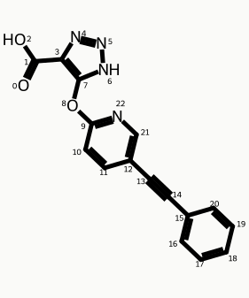 O=C(O)c1nn[nH]c1Oc1ccc(C#Cc2ccccc2)cn1